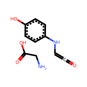 NCC(=O)O.O=C=CNc1ccc(O)cc1